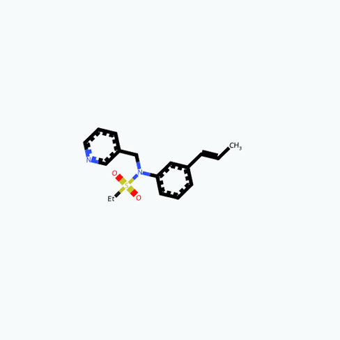 CC=Cc1cccc(N(Cc2cccnc2)S(=O)(=O)CC)c1